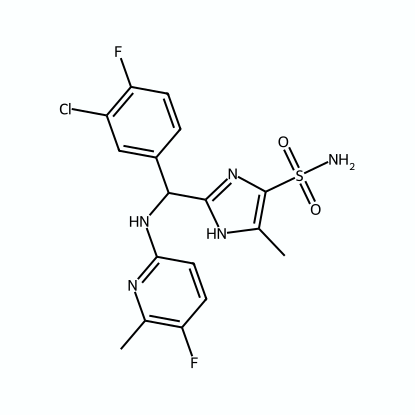 Cc1nc(NC(c2ccc(F)c(Cl)c2)c2nc(S(N)(=O)=O)c(C)[nH]2)ccc1F